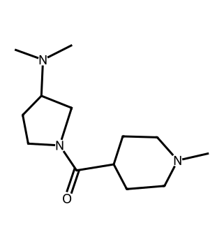 CN1CCC(C(=O)N2CCC(N(C)C)C2)CC1